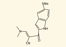 CSc1ccc2[nH]c(C(=O)C(C#N)=CN(C)C)cc2c1